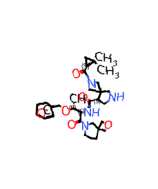 C[C@@H](OCC12CCC(CC1)OC2)[C@H](NC(=O)[C@@H]1CNCC12CN(C(=O)[C@H]1CC1(C)C)C2)C(=O)N1CCCC2(COC2)C1